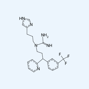 N=C(N)N(CCCc1c[nH]cn1)CCC(c1cccc(C(F)(F)F)c1)c1ccccn1